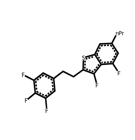 CCCc1cc(F)c2c(F)c(CCc3cc(F)c(F)c(F)c3)sc2c1